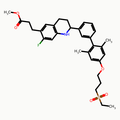 CCS(=O)(=O)CCCOc1cc(C)c(-c2cccc(C3CCc4cc(CCC(=O)OC)c(F)cc4N3)c2)c(C)c1